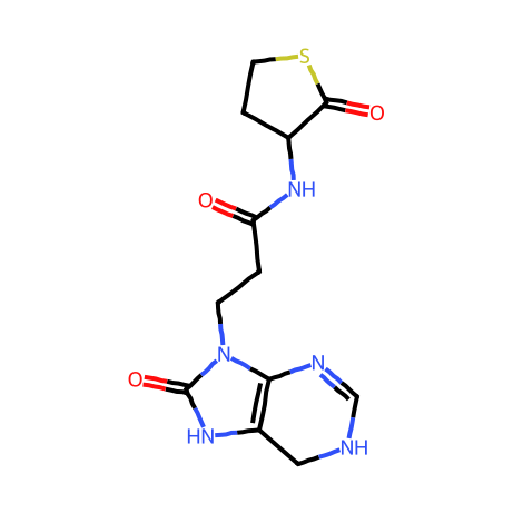 O=C(CCn1c2c([nH]c1=O)CNC=N2)NC1CCSC1=O